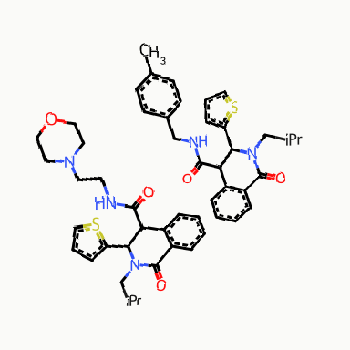 CC(C)CN1C(=O)c2ccccc2C(C(=O)NCCN2CCOCC2)C1c1cccs1.Cc1ccc(CNC(=O)C2c3ccccc3C(=O)N(CC(C)C)C2c2cccs2)cc1